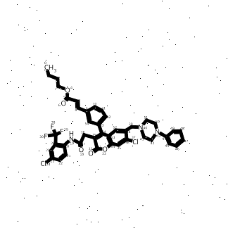 CCCCOC(=O)/C=C/c1cccc(-c2c(CC(=O)Nc3ccc(Cl)cc3C(F)(F)F)c(=O)oc3cc(Cl)c(CN4CCN(c5ccccc5)CC4)cc23)c1